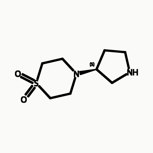 O=S1(=O)CCN([C@H]2CCNC2)CC1